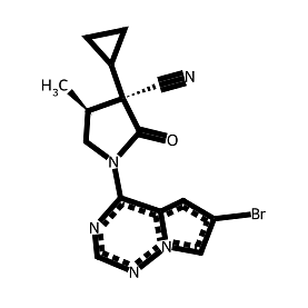 C[C@@H]1CN(c2ncnn3cc(Br)cc23)C(=O)[C@]1(C#N)C1CC1